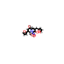 O=NC[N@+]12C=C(O)C(Cc3ccco3)=C[C@@H]1C(=O)C=C(c1ccco1)[C@@H]2CO